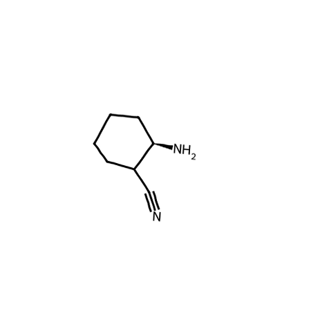 N#CC1CCCC[C@H]1N